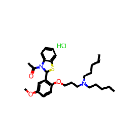 CCCCCN(CCCCC)CCCOc1ccc(OC)cc1C1Sc2ccccc2N1C(C)=O.Cl